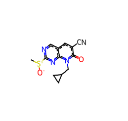 C[S+]([O-])c1ncc2cc(C#N)c(=O)n(CC3CC3)c2n1